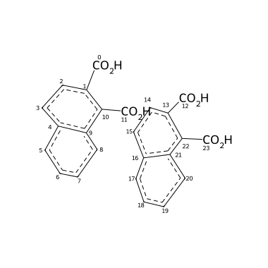 O=C(O)c1ccc2ccccc2c1C(=O)O.O=C(O)c1ccc2ccccc2c1C(=O)O